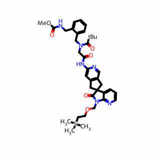 COC(=O)NCc1ccccc1CN(CC(=O)Nc1cc2c(cn1)CC1(C2)C(=O)N(COCC[Si](C)(C)C)c2ncccc21)C(=O)C(C)(C)C